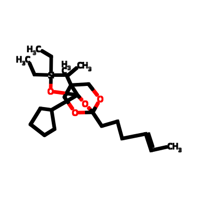 CC=CCCCC12OCC(C)(CO1)C(O[Si](CC)(CC)CC)(C1CCCC1)O2